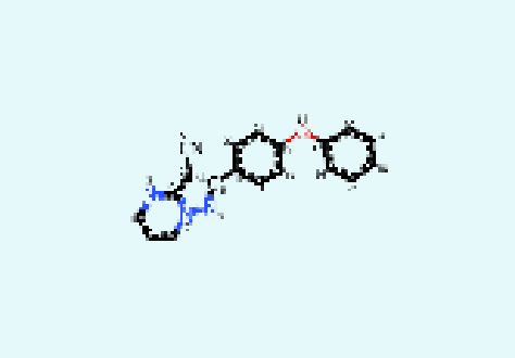 N#Cc1c2ncccn2n[14c]1-c1ccc(Oc2ccccc2)cc1